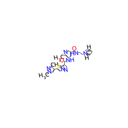 Cc1ncc(C(=O)NCCN2C[C@H]3CC[C@@H]2C3)cc1NC(=O)c1cnn2cc(-c3cn(C)nc3C)sc12